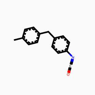 Cc1ccc(Cc2ccc(N=C=O)cc2)cc1